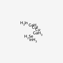 [Cu].[Cu].[GaH3].[GaH3].[InH3].[InH3].[SeH2]